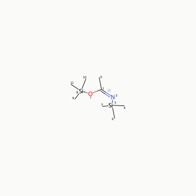 C/C(=N/[Si](C)(C)C)O[Si](C)(C)C